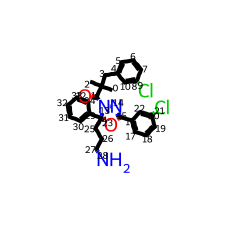 CC(C)(Cc1cccc(Cl)c1)C(=O)N1N=C(c2cccc(Cl)c2)OC1(CCCN)c1ccccc1